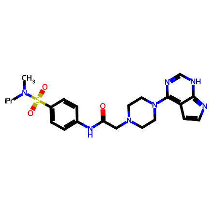 CC(C)N(C)S(=O)(=O)c1ccc(NC(=O)CN2CCN(c3nc[nH]c4nccc3-4)CC2)cc1